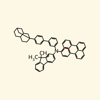 CC1(C)c2ccccc2-c2ccc(N(c3ccc(-c4cccc5cccc(-c6ccccc6)c45)cc3)c3cccc(-c4ccc(C56CCC7CCC(CC7C5)C6)cc4)c3)cc21